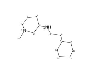 CN1CCCC(NCCC2CCCCC2)C1